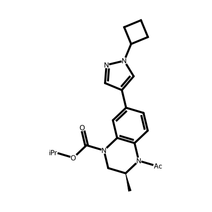 CC(=O)N1c2ccc(-c3cnn(C4CCC4)c3)cc2N(C(=O)OC(C)C)C[C@@H]1C